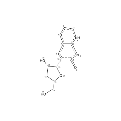 O=c1nc2[nH]cccc-2cc1[C@@H]1O[C@H](CO)C[C@@H]1O